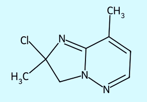 CC1=CC=NN2CC(C)(Cl)N=C12